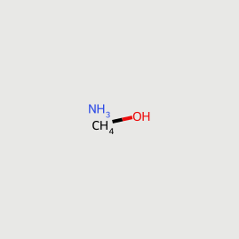 C.CO.N